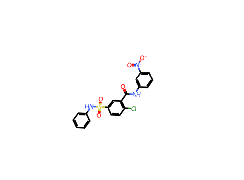 O=C(Nc1cccc([N+](=O)[O-])c1)c1cc(S(=O)(=O)Nc2ccccc2)ccc1Cl